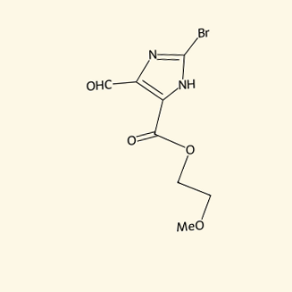 COCCOC(=O)c1[nH]c(Br)nc1C=O